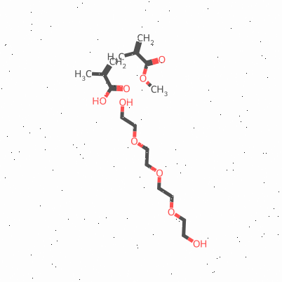 C=C(C)C(=O)O.C=C(C)C(=O)OC.OCCOCCOCCOCCO